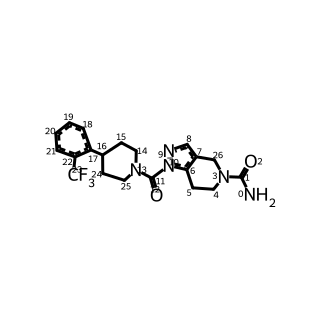 NC(=O)N1CCc2c(cnn2C(=O)N2CCC(c3ccccc3C(F)(F)F)CC2)C1